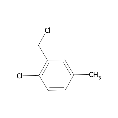 Cc1ccc(Cl)c(CCl)c1